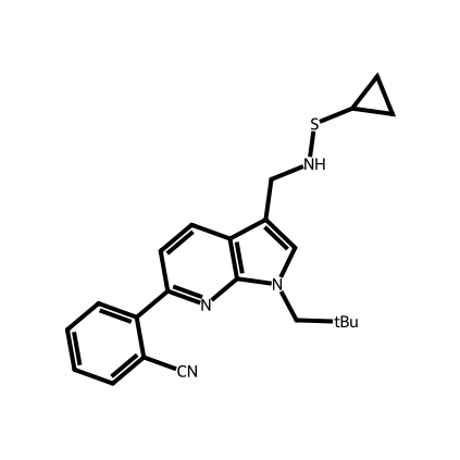 CC(C)(C)Cn1cc(CNSC2CC2)c2ccc(-c3ccccc3C#N)nc21